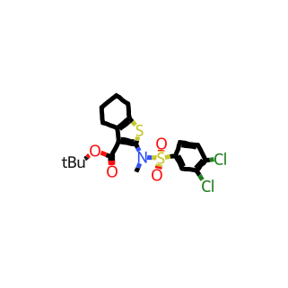 CN(c1sc2c(c1C(=O)OC(C)(C)C)CCCC2)S(=O)(=O)c1ccc(Cl)c(Cl)c1